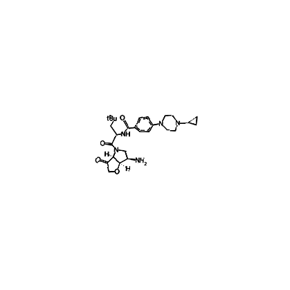 CC(C)(C)CC(NC(=O)c1ccc(N2CCN(C3CC3)CC2)cc1)C(=O)N1C[C@@H](N)[C@H]2OCC(=O)[C@H]21